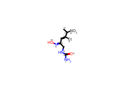 CC/C(=C\C(CNC(N)=O)=N/O)C(C)[N+](=O)[O-]